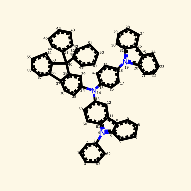 c1ccc(-n2c3ccccc3c3cc(N(c4ccc(-n5c6ccccc6c6ccccc65)cc4)c4ccc5c(c4)C(c4ccccc4)(c4ccccc4)c4ccccc4-5)ccc32)cc1